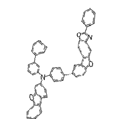 c1ccc(-c2cccc(N(c3ccc(-c4ccc5oc6cc7nc(-c8ccccc8)oc7cc6c5c4)cc3)c3ccc4c(c3)oc3ccccc34)c2)cc1